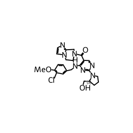 COc1ccc(CNc2nc(N3CCC[C@H]3CO)ncc2C(=O)N2CCn3ccnc3C2)cc1Cl